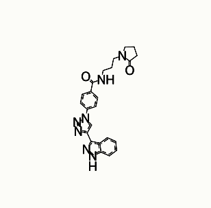 O=C(NCCCN1CCCC1=O)c1ccc(-n2cc(-c3n[nH]c4ccccc34)nn2)cc1